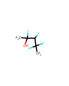 OC(F)([C](F)C(F)(F)C(F)(F)F)C(F)(F)F